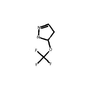 FC(F)(F)OC1CC=N[N]1